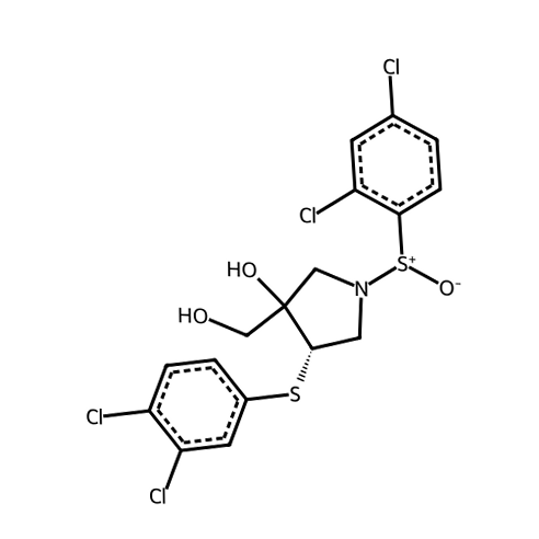 [O-][S+](c1ccc(Cl)cc1Cl)N1C[C@H](Sc2ccc(Cl)c(Cl)c2)C(O)(CO)C1